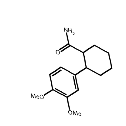 COc1ccc(C2CCCCC2C(N)=O)cc1OC